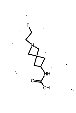 O=C(O)NC1CC2(C1)CN(CCF)C2